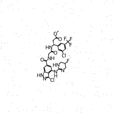 COC(=O)C[C@H](NC(=O)CNC(=O)c1cc(NC2=NCC(F)CN2)c2c(Cl)n[nH]c2c1)c1cc(Cl)cc(C(F)(F)F)c1